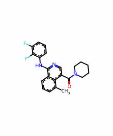 Cc1cccc2c(Nc3cccc(F)c3F)ncc(C(=O)N3CCCCC3)c12